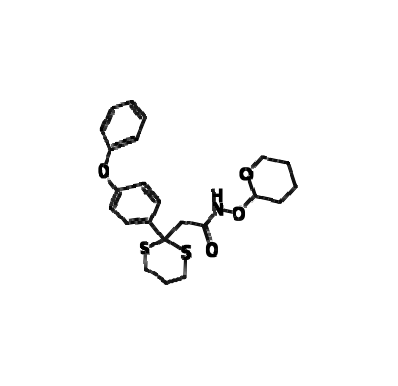 O=C(CC1(c2ccc(Oc3ccccc3)cc2)SCCCS1)NOC1CCCCO1